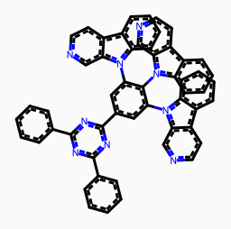 c1ccc(-c2nc(-c3ccccc3)nc(-c3cc(-n4c5ccccc5c5ccncc54)c(-n4c5ccccc5c5ccncc54)c(-n4c5ccccc5c5ccncc54)c3)n2)cc1